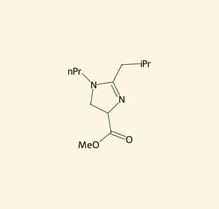 CCCN1CC(C(=O)OC)N=C1CC(C)C